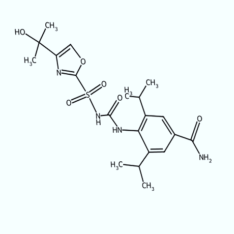 CC(C)c1cc(C(N)=O)cc(C(C)C)c1NC(=O)NS(=O)(=O)c1nc(C(C)(C)O)co1